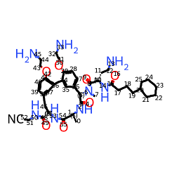 C[C@@H]1NC(=O)[C@@H](N(C)C(=O)[C@H](CCN)NC(=O)CCCC2CCCCC2)c2ccc(OCCN)c(c2)-c2cc(ccc2OCCN)C[C@@H](C(=O)NCC#N)NC1=O